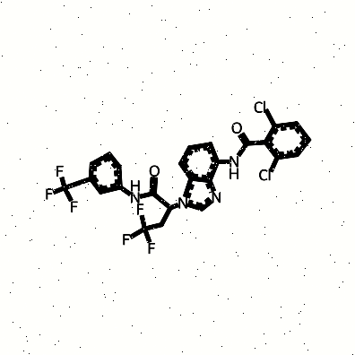 O=C(Nc1cccc2c1ncn2C(CC(F)(F)F)C(=O)Nc1cccc(C(F)(F)F)c1)c1c(Cl)cccc1Cl